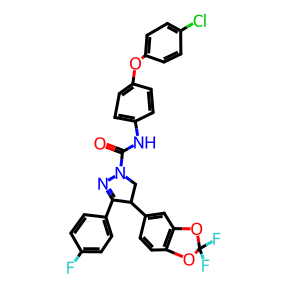 O=C(Nc1ccc(Oc2ccc(Cl)cc2)cc1)N1CC(c2ccc3c(c2)OC(F)(F)O3)C(c2ccc(F)cc2)=N1